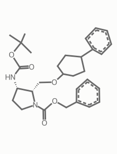 CC(C)(C)OC(=O)N[C@H]1CCN(C(=O)OCc2ccccc2)[C@H]1COC1CCC(c2ccccc2)CC1